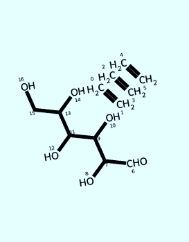 C=C.C=C.C=C.O=CC(O)C(O)C(O)C(O)CO